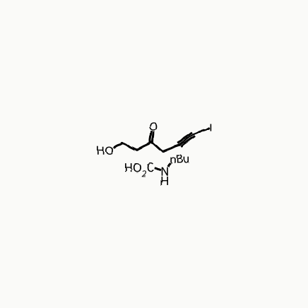 CCCCNC(=O)O.O=C(CC#CI)CCO